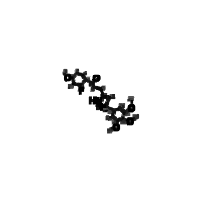 COc1ccc(C(=O)C=Cc2cc(-c3cc(OC)c(OC)c(OC)c3)n[nH]2)c(F)c1